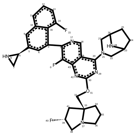 Fc1c(-c2cc([C@H]3CN3)cc3cccc(F)c23)ncc2c(N3CC4CCC(C3)N4)nc(OC[C@@]34CCCN3C[C@H](F)C4)nc12